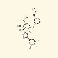 CCOc1cccc(S[C@H]2O[C@H](CO)[C@H](O)[C@@](O)(n3cc(-c4cc(F)c(F)c(F)c4)nn3)[C@H]2O)c1